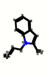 [CH2]c1cc2ccccc2n1CC=C